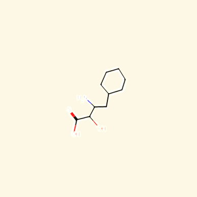 NC(CC1CCCCC1)C(O)C(=O)O